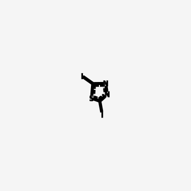 Ic1nnc(I)s1